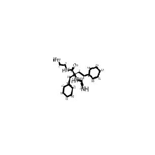 CC(C)CCNC(=O)[C@@](CCC1CCCCC1)(CC1CCCCC1)NC=N